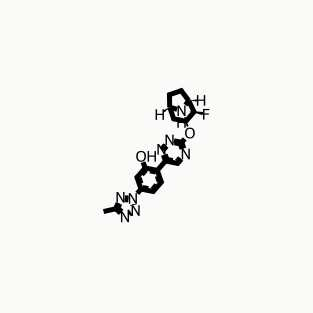 Cc1nnn(-c2ccc(-c3cnc(O[C@@H]4C[C@H]5CC[C@H](N5)[C@H]4F)nn3)c(O)c2)n1